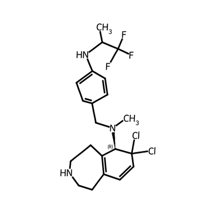 CC(Nc1ccc(CN(C)[C@@H]2C3=C(C=CC2(Cl)Cl)CCNCC3)cc1)C(F)(F)F